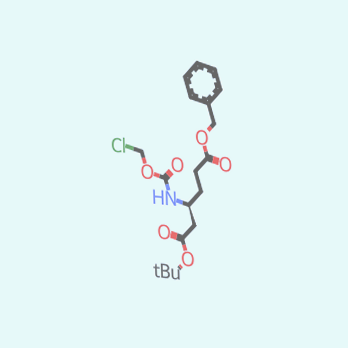 CC(C)(C)OC(=O)C[C@H](CCC(=O)OCc1ccccc1)NC(=O)OCCl